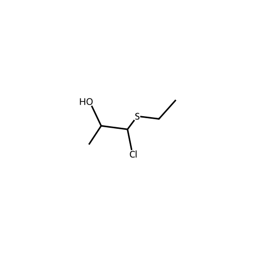 CCSC(Cl)C(C)O